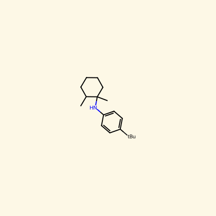 CC1CCCCC1(C)Nc1ccc(C(C)(C)C)cc1